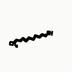 C.CCCCCCCCCCCS